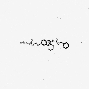 CCCCCCOC(=O)OCOc1ccc2c(c1)[C@]13CCCC[C@@H]1[C@H](C2)N(C(=O)OCc1ccccc1)CC3